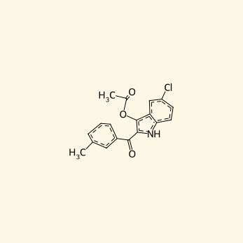 CC(=O)Oc1c(C(=O)c2cccc(C)c2)[nH]c2ccc(Cl)cc12